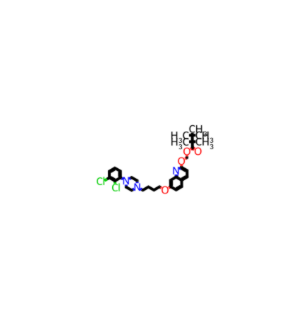 CC(C)(C)C(C)(C)C(=O)OCOc1ccc2ccc(OCCCCN3CCN(c4cccc(Cl)c4Cl)CC3)cc2n1